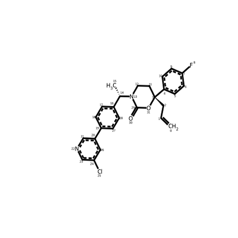 C=CC[C@]1(c2ccc(F)cc2)CCN([C@@H](C)c2ccc(-c3cncc(Cl)c3)cc2)C(=O)O1